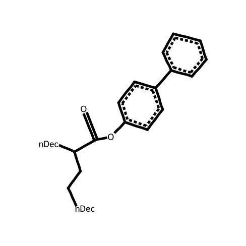 CCCCCCCCCCCCC(CCCCCCCCCC)C(=O)Oc1ccc(-c2ccccc2)cc1